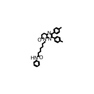 Cc1ccc(-c2nc3c(nc2-c2ccc(C)cc2)N(CCCCCCC(=O)Nc2ccccc2)C(=O)CC3)cc1